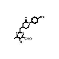 Cc1nc(CC2CCN(c3ccc(C(C)(C)C)cc3)C(=O)C2)nc([C]=O)c1O